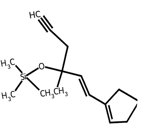 C#CCC(C)(/C=C/C1=CCCC1)O[Si](C)(C)C